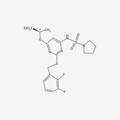 CCOC(=O)[C@@H](C)Oc1cc(NS(=O)(=O)N2CCCC2)nc(SCc2cccc(F)c2F)n1